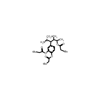 CCC(C)CC(=O)OC(C)C(C)C(c1ccc(OC(=O)CC(C)(C)C)c(OC(=O)CC(C)(C)C)c1)[C@H](N)C(=O)O